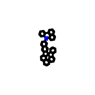 c1ccc(-c2ccccc2N(c2ccccc2)c2ccc3cc4c(cc3c2)C2(c3ccccc3-c3ccccc32)c2c-4ccc3ccccc23)cc1